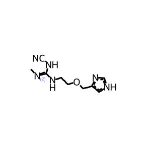 C/N=C(\NC#N)NCCOCc1c[nH]cn1